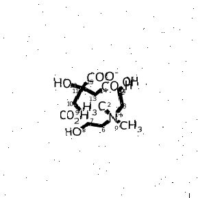 C[N+](C)(CCO)CCO.O=C(O)CC(O)(CC(=O)O)C(=O)[O-]